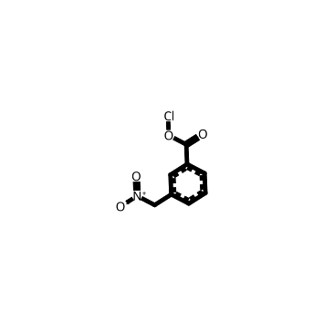 O=C(OCl)c1cccc(C[N+](=O)[O-])c1